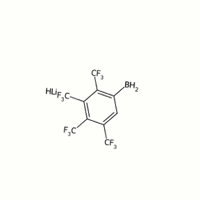 Bc1cc(C(F)(F)F)c(C(F)(F)F)c(C(F)(F)F)c1C(F)(F)F.[LiH]